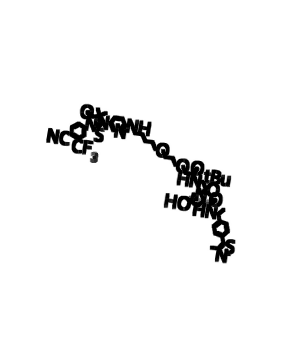 Cc1ncsc1-c1ccc(C(C)NC(=O)[C@@H]2C[C@@H](O)CN2C(=O)C(NC(=O)COCCCOCCCCCNc2ccc(N3C(=S)N(c4ccc(C#N)c(C(F)(F)F)c4)C(=O)C3(C)C)cn2)C(C)(C)C)cc1